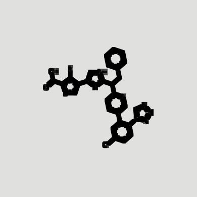 O=C(O)c1scc(-c2c[nH]c(C(Cc3ccccc3)c3ccc(-c4cc(Cl)ccc4-n4cnnn4)cn3)n2)c1F